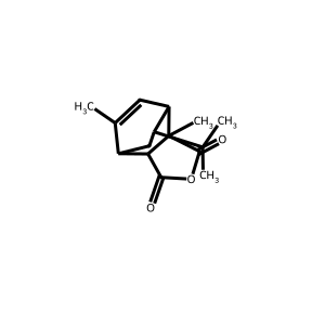 CC1=CC2C(C(C)C)CC1C1C(=O)OC(=O)C21C